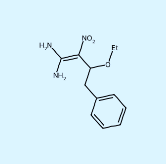 CCOC(Cc1ccccc1)C(=C(N)N)[N+](=O)[O-]